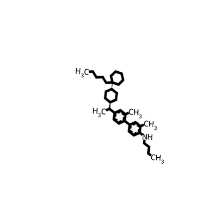 CCCCCC1([C@H]2CC[C@H](C(C)c3ccc(-c4ccc(NCCCC)c(C)c4)c(C)c3)CC2)CCCCC1